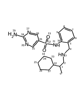 CC(CNCc1ccccc1NS(=O)(=O)c1cnc(N)nc1)C1CCCCC1